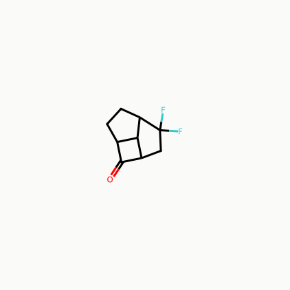 O=C1C2CCC3C2C1CC3(F)F